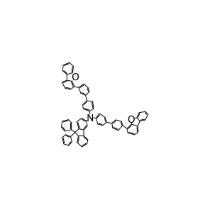 c1ccc(C2(c3ccccc3)c3ccccc3-c3cc(N(c4ccc(-c5ccc(-c6cccc7c6oc6ccccc67)cc5)cc4)c4ccc(-c5cccc(-c6cccc7c6oc6ccccc67)c5)cc4)ccc32)cc1